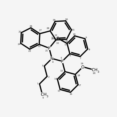 CCCCN(P(c1ccccc1C)c1ccccc1OC)p1c2ccccc2c2ccccc21